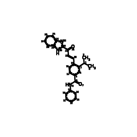 CC(C)c1cc(C(=O)Nc2ccccc2)ccc1C=CC(=O)c1nc2ccccc2[nH]1